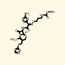 CC(C)(C)OC(=O)NCCCO/N=C(/C(=O)NC1C(=O)N2C(C(=O)O)=C(CSc3nncs3)CS[C@H]12)c1nsc(N)n1